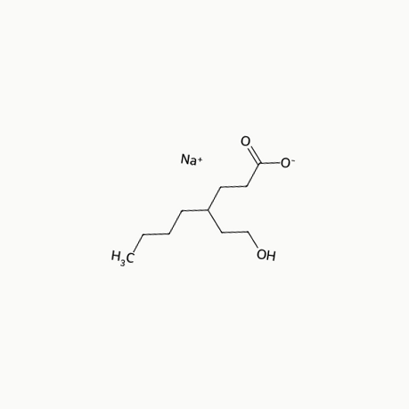 CCCCC(CCO)CCC(=O)[O-].[Na+]